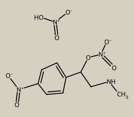 CNCC(O[N+](=O)[O-])c1ccc([N+](=O)[O-])cc1.O=[N+]([O-])O